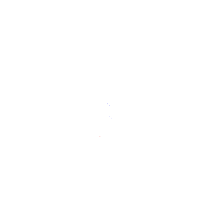 CCCc1c(CC)c(O)nn1-c1ccccc1